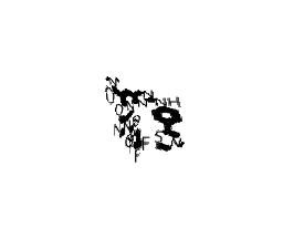 CN1CCSC(c2ccc(Nc3ncc4cc(C(=O)N(C)C)c(=O)n(Cc5cncn5S(=O)(=O)CC(F)(F)F)c4n3)cc2)C1